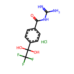 Cl.N=C(N)NC(=O)c1ccc(C(O)(O)C(F)(F)F)cc1